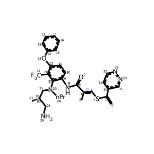 C=C(S/C=C(\C)C(=O)Nc1ccc(Oc2ccccc2)c(C(F)(F)F)c1N(CCC)C[C@H](C)CN)c1ccnnc1